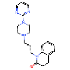 O=C1CCc2ccccc2N1CCCN1CCN(c2ncccn2)CC1